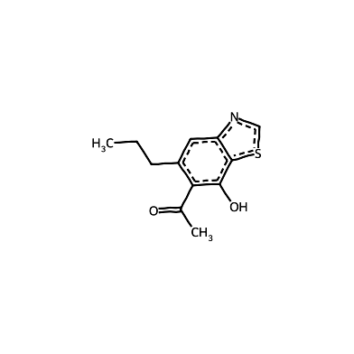 CCCc1cc2ncsc2c(O)c1C(C)=O